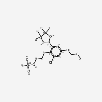 COCOc1cc(Cl)c(CCCOS(C)(=O)=O)c(B2OC(C)(C)C(C)(C)O2)c1